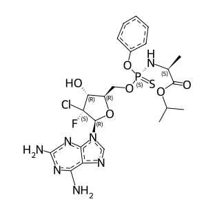 CC(C)OC(=O)[C@H](C)N[P@](=S)(OC[C@H]1O[C@@H](n2cnc3c(N)nc(N)nc32)[C@@](F)(Cl)[C@@H]1O)Oc1ccccc1